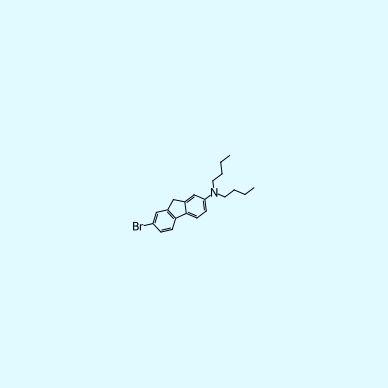 CCCCN(CCCC)c1ccc2c(c1)Cc1cc(Br)ccc1-2